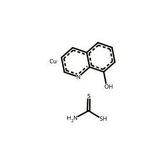 NC(=S)S.Oc1cccc2cccnc12.[Cu]